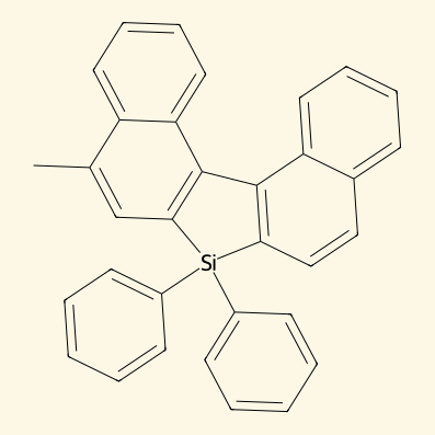 Cc1cc2c(c3ccccc13)-c1c(ccc3ccccc13)[Si]2(c1ccccc1)c1ccccc1